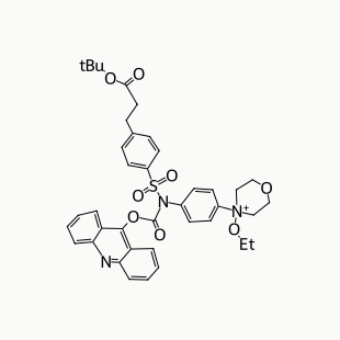 CCO[N+]1(c2ccc(N(C(=O)Oc3c4ccccc4nc4ccccc34)S(=O)(=O)c3ccc(CCC(=O)OC(C)(C)C)cc3)cc2)CCOCC1